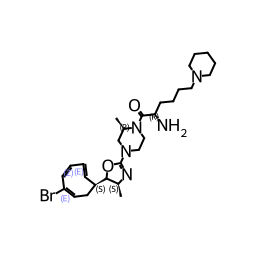 C[C@@H]1N=C(N2CCN(C(=O)[C@H](N)CCCCN3CCCCC3)[C@H](C)C2)OC1[C@@H]1/C=C/C=C\C(Br)=C/C1